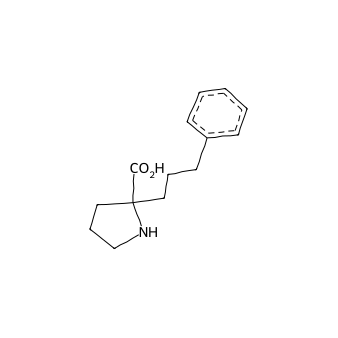 O=C(O)C1(CCCc2ccccc2)CCCN1